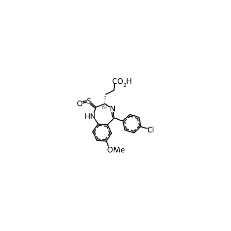 COc1ccc2c(c1)C(c1ccc(Cl)cc1)=N[C@@H](CCC(=O)O)C(=S=O)N2